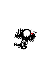 COCCOc1cnc(O[C@@H]2C[C@H]3C(=O)N[C@]4(C(=O)NS(=O)(=O)C5(C)CC5)C[C@H]4C=CCC[C@H](C)C[C@@H](C)[C@H](N(C(=O)O)C(C)(C)C(F)(F)F)C(=O)N3C2)c2ccccc12